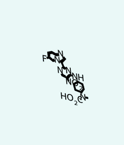 CN(C(=O)O)[C@H]1CC[C@H](Nc2nc(-c3cnc4ccc(F)cn34)ncc2[N+](=O)[O-])CC1